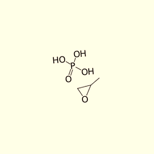 CC1CO1.O=P(O)(O)O